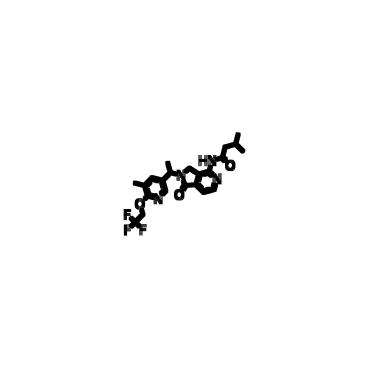 Cc1cc(C(C)N2Cc3c(ccnc3NC(=O)CC(C)C)C2=O)cnc1OCC(F)(F)F